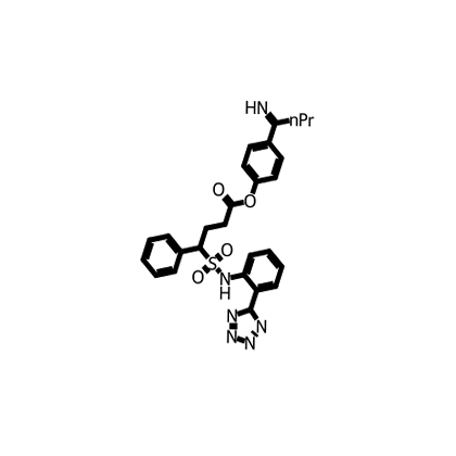 CCCC(=N)c1ccc(OC(=O)CCC(c2ccccc2)S(=O)(=O)Nc2ccccc2C2N=NN=N2)cc1